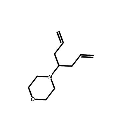 C=CC[C](CC=C)N1CCOCC1